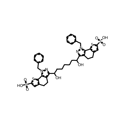 O=S(=O)(O)c1cc2c(s1)-c1c(c(C(O)CCCCCC(O)c3nn(Cc4ccccc4)c4c3CCc3cc(S(=O)(=O)O)sc3-4)nn1Cc1ccccc1)CC2